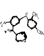 Cc1cc(C#N)ccc1Nc1ccc(N)c(C(=N)c2ccncc2)c1